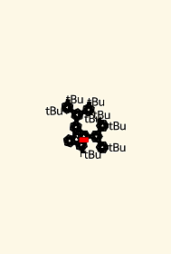 CC(C)(C)c1cc(-c2cc(-c3cc(C(C)(C)C)cc(C(C)(C)C)c3)cc(-c3ccc4c(c3)c3cc(-c5cc(-c6cc(C(C)(C)C)cc(C(C)(C)C)c6)cc(-c6cc(C(C)(C)C)cc(C(C)(C)C)c6)c5)ccc3n4-c3ccccc3-c3cc(F)cc(F)c3)c2)cc(C(C)(C)C)c1